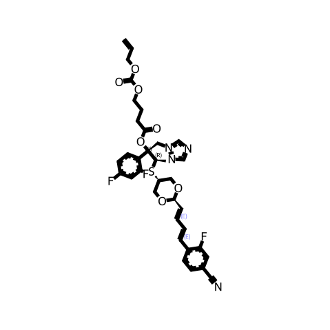 C=CCOC(=O)OCCCC(=O)O[C@@](Cn1cncn1)(c1ccc(F)cc1F)[C@@H](C)S[C@H]1CO[C@H](/C=C/C=C/c2ccc(C#N)cc2F)OC1